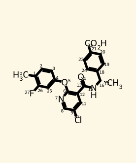 Cc1ccc(Oc2ncc(Cl)cc2C(=O)N[C@@H](C)c2ccc(C(=O)O)cc2)cc1F